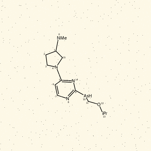 CNC1CCN(c2ccnc([AsH]COC(C)C)n2)C1